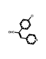 O=CC(=Cc1ccncc1)c1ccc(Cl)cc1